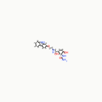 NC(=O)Nc1cc(C(O)CNCCOc2ccc3c(c2)[nH]c2ccccc23)ccc1O